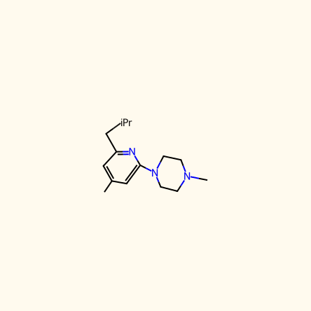 Cc1cc(CC(C)C)nc(N2CCN(C)CC2)c1